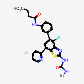 CCNC(=O)Nc1nc2c(F)c(-c3cccc(NC(=O)CCC(=O)O)c3)cc(-c3ccccn3)c2s1.[Li]